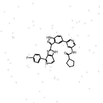 O=C(Nc1cncc(-c2ccc3[nH]nc(-c4nc5c(-c6ccc(F)cc6)nccc5[nH]4)c3c2)c1)C1CCCC1